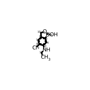 CCNc1cc2c(cc1Cl)COB2O